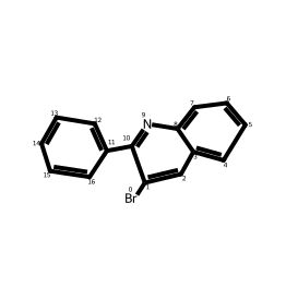 Brc1cc2ccccc2nc1-c1ccccc1